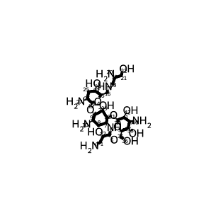 NC[C@H](O)C(=O)N[C@@H]1C[C@H](N)C(O[C@H]2O[C@H](CNCC(N)CO)[C@@H](O)C[C@H]2N)[C@H](O)[C@H]1O[C@H]1O[C@H](CO)[C@@H](O)[C@H](N)[C@H]1O